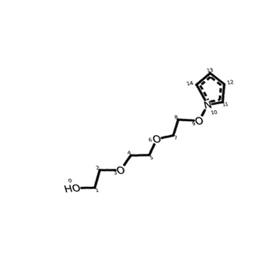 OCCOCCOCCOn1cccc1